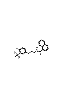 Cc1ccc(CCCN[C@H](C)c2cccc3ccccc23)cc1C(C)(F)F